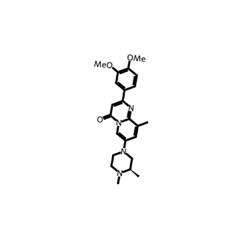 COc1ccc(-c2cc(=O)n3cc(N4CCN(C)[C@H](C)C4)cc(C)c3n2)cc1OC